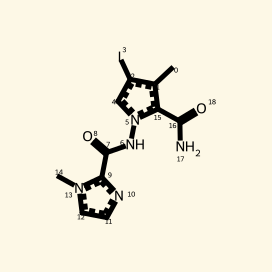 Cc1c(I)cn(NC(=O)c2nccn2C)c1C(N)=O